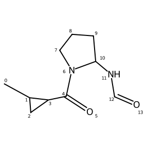 CC1CC1C(=O)N1CCCC1NC=O